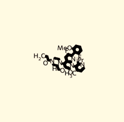 C=CC(=O)N1CCN2c3c(c(=O)n(-c4c(C)ccnc4C(C)C)c4nc(-c5c(F)cccc5OC)c(F)cc34)OC[C@H]2C1